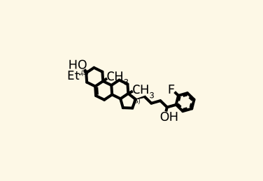 CC[C@]1(O)CCC2(C)C(=CCC3C2CCC2(C)C3CC[C@@H]2CCCC(O)c2ccccc2F)C1